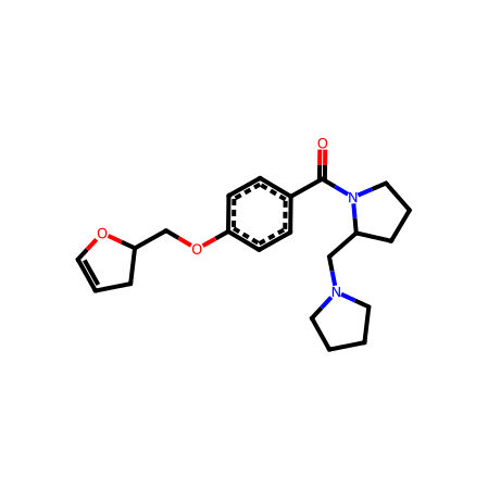 O=C(c1ccc(OCC2CC=CO2)cc1)N1CCCC1CN1CCCC1